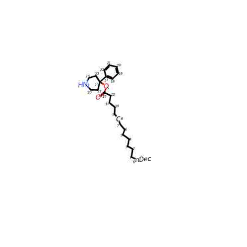 CCCCCCCCCCCCCCCCCCCCCCC(=O)OC1(c2ccccc2)CCNCC1